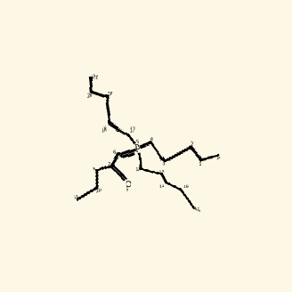 CCCCCP(=CC(=O)CCC)(CCCCC)CCCCC